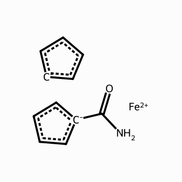 NC(=O)[c-]1cccc1.[Fe+2].c1cc[cH-]c1